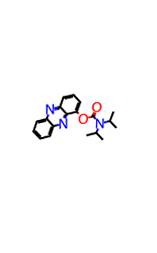 CC(C)N(C(=O)Oc1cccc2nc3ccccc3nc12)C(C)C